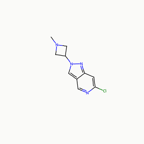 CN1CC(n2cc3cnc(Cl)cc3n2)C1